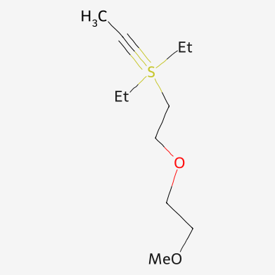 CC#S(CC)(CC)CCOCCOC